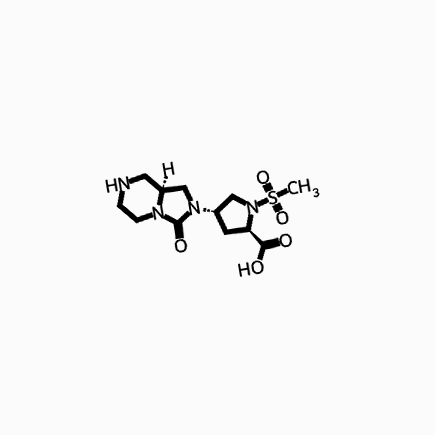 CS(=O)(=O)N1C[C@@H](N2C[C@@H]3CNCCN3C2=O)C[C@@H]1C(=O)O